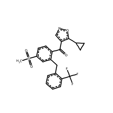 CS(=O)(=O)c1ccc(C(=O)c2cnoc2C2CC2)c(Cc2ccccc2C(F)(F)F)c1